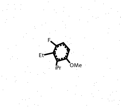 CCc1c(F)ccc(OC)c1C(C)C